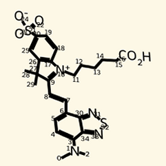 CN(C)c1ccc(/C=C/C2=[N+](CCCCCC(=O)O)c3ccc(S(=O)(=O)[O-])cc3C2(C)C)c2nsnc12